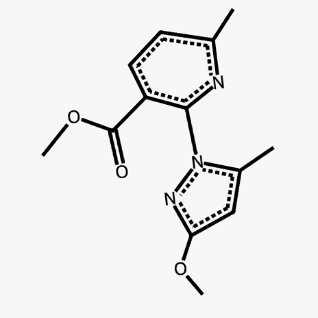 COC(=O)c1ccc(C)nc1-n1nc(OC)cc1C